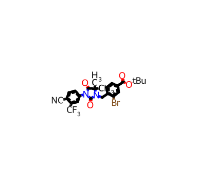 CC(C)(C)OC(=O)c1ccc(CN2C(=O)N(c3ccc(C#N)c(C(F)(F)F)c3)C(=O)C2(C)C)c(Br)c1